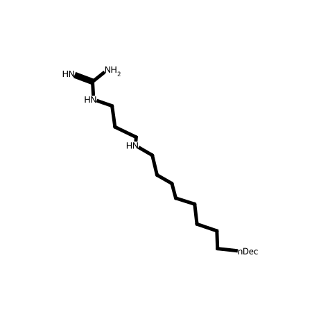 CCCCCCCCCCCCCCCCCCNCCCNC(=N)N